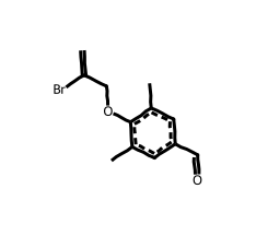 C=C(Br)COc1c(C)cc(C=O)cc1C